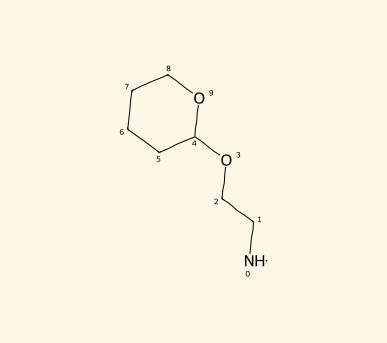 [NH]CCOC1CCCCO1